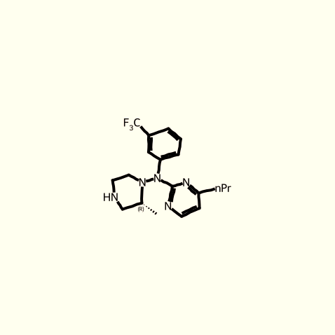 CCCc1ccnc(N(c2cccc(C(F)(F)F)c2)N2CCNC[C@H]2C)n1